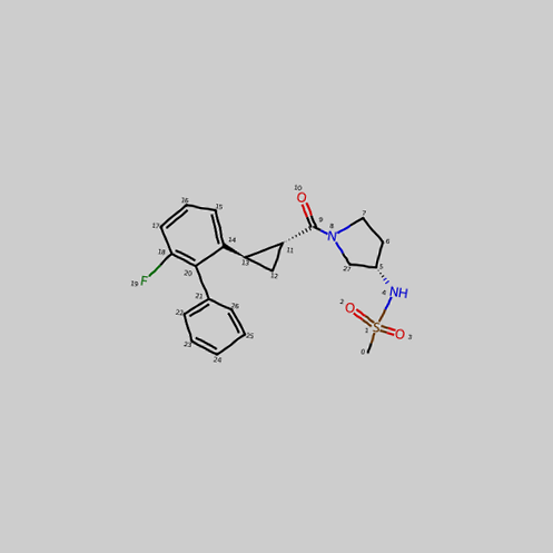 CS(=O)(=O)N[C@H]1CCN(C(=O)[C@@H]2C[C@H]2c2cccc(F)c2-c2ccccc2)C1